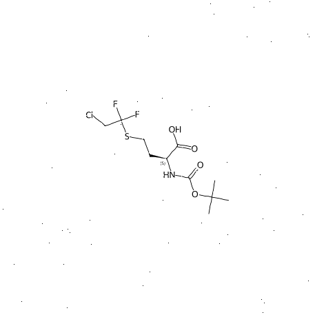 CC(C)(C)OC(=O)N[C@@H](CCSC(F)(F)CCl)C(=O)O